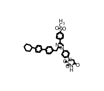 CS(=O)(=O)c1ccc(-c2cn(-c3ccc(N4CC(=O)NS4(=O)=O)cc3)c(Cc3ccc(-c4ccc(C5CCCCC5)cc4)cc3)n2)cc1